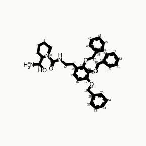 NC(O)C1CCCCN1C(=O)NCCc1ccc(OCc2ccccc2)c(OCc2ccccc2)c1OCc1ccccc1